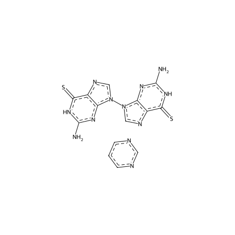 Nc1nc2c(ncn2-n2cnc3c(=S)[nH]c(N)nc32)c(=S)[nH]1.c1cncnc1